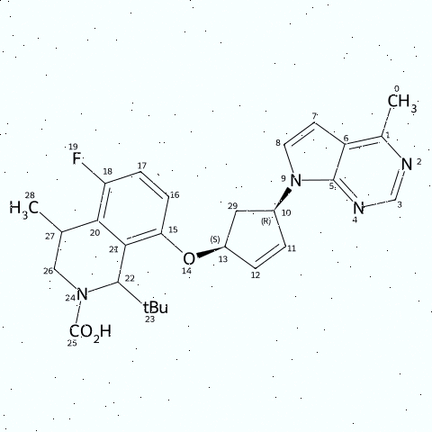 Cc1ncnc2c1ccn2[C@H]1C=C[C@@H](Oc2ccc(F)c3c2C(C(C)(C)C)N(C(=O)O)CC3C)C1